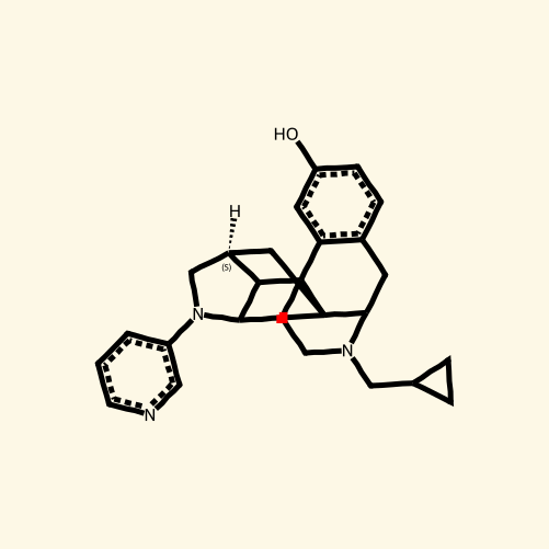 Oc1ccc2c(c1)C13CCN(CC4CC4)C(C2)C12CCC1C3[C@@H](CN1c1cccnc1)C2